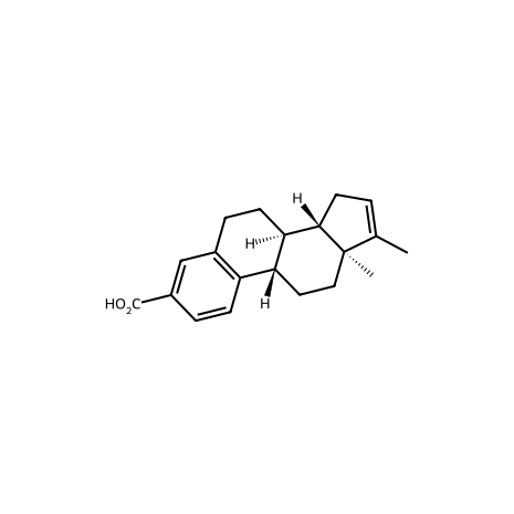 CC1=CC[C@H]2[C@@H]3CCc4cc(C(=O)O)ccc4[C@H]3CC[C@]12C